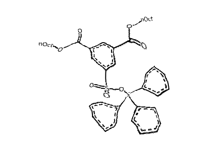 CCCCCCCCOC(=O)c1cc(C(=O)OCCCCCCCC)cc(S(=O)(=O)OS(c2ccccc2)(c2ccccc2)c2ccccc2)c1